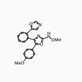 CONc1nc(-c2ccccc2-c2cnco2)c(-c2ccc(OC)cc2)o1